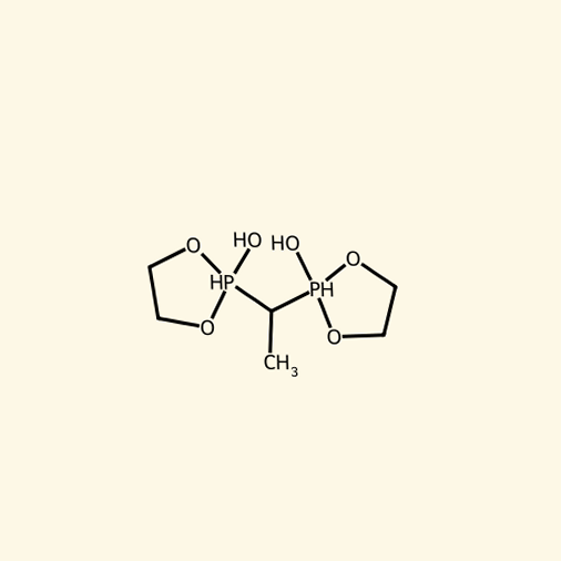 CC([PH]1(O)OCCO1)[PH]1(O)OCCO1